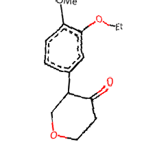 CCOc1cc(C2COCCC2=O)ccc1OC